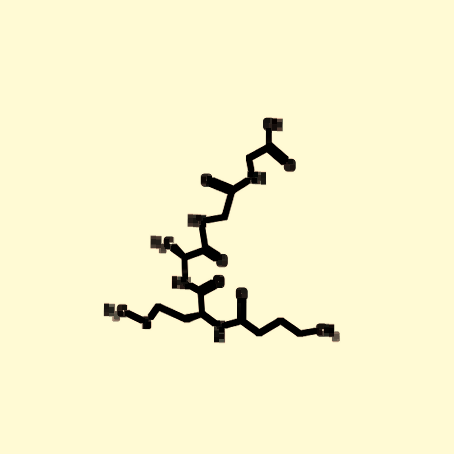 CCCCC(=O)N[C@@H](CCSC)C(=O)N[C@@H](C)C(=O)NCC(=O)NCC(=O)O